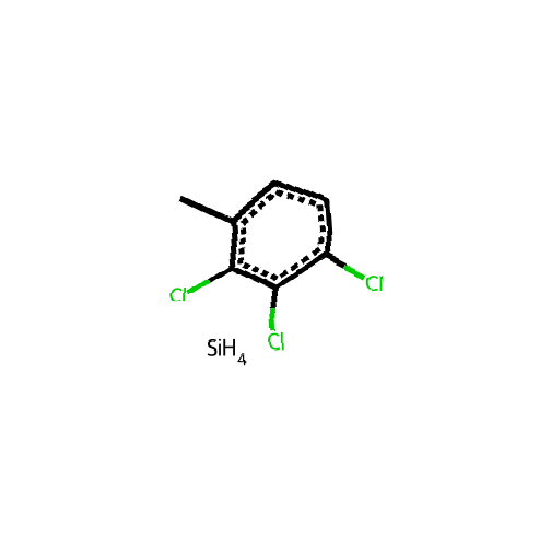 Cc1ccc(Cl)c(Cl)c1Cl.[SiH4]